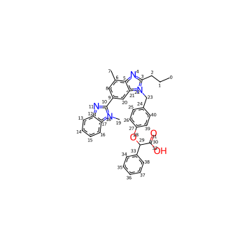 CCCc1nc2c(C)cc(-c3nc4ccccc4n3C)cc2n1Cc1ccc(OC(C(=O)O)c2ccccc2)cc1